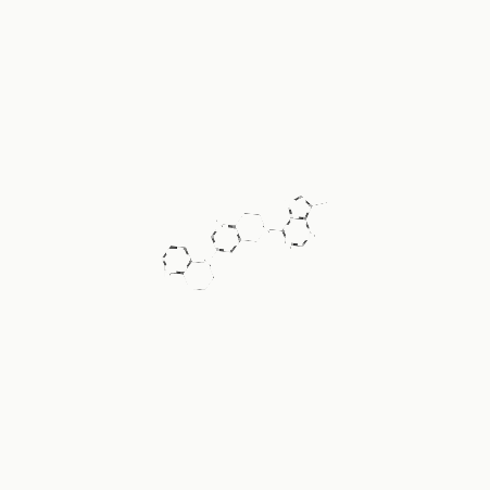 Cc1csc2c(N3CCc4ncc(N5CCOc6ncccc65)cc4C3)ncnc12